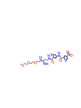 COCCOCCOCCNC(=N)CCNC(=O)c1cc(NC(=O)c2cc([N+](=O)[O-])cn2C)cn1C